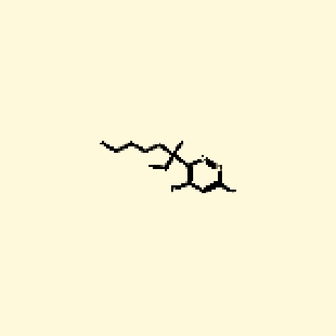 CCCCCC(C)(CC)c1nnc(F)cc1F